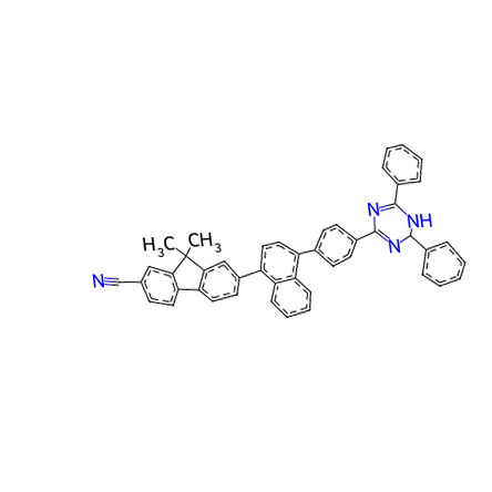 CC1(C)c2cc(C#N)ccc2-c2ccc(-c3ccc(-c4ccc(C5=NC(c6ccccc6)NC(c6ccccc6)=N5)cc4)c4ccccc34)cc21